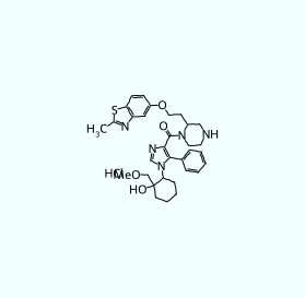 COCC1(O)CCCCC1n1cnc(C(=O)N2CCNCC2CCOc2ccc3sc(C)nc3c2)c1-c1ccccc1.Cl